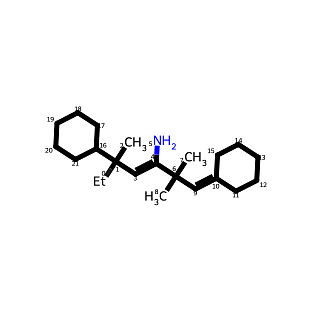 CCC(C)(/C=C(\N)C(C)(C)C=C1CCCCC1)C1CCCCC1